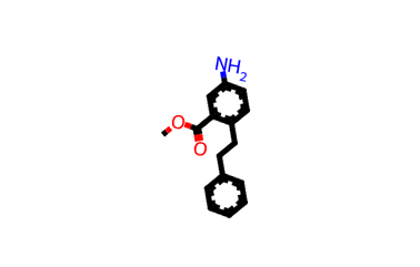 COC(=O)c1cc(N)ccc1CCc1ccccc1